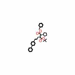 CC(C)(C)OC(=O)[C@@H](CC=Cc1ccc(-c2ccccc2)cc1)[C@@H](C(=O)OCc1ccccc1)C1CCCC1